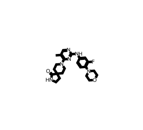 Cc1cnc(Nc2ccc(N3CCOCC3)c(F)c2)nc1N1CCC2(CCNC2=O)CC1